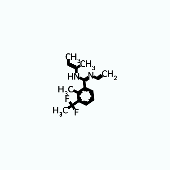 C=C/N=C(/N/C(C)=C/C)c1cccc(C(C)(F)F)c1C